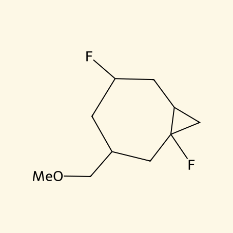 COCC1CC(F)CC2CC2(F)C1